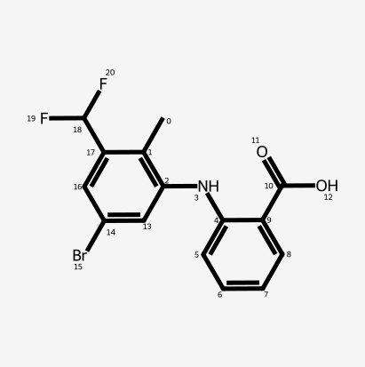 Cc1c(Nc2ccccc2C(=O)O)cc(Br)cc1C(F)F